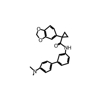 CN(C)c1ccc(-c2cccc(NC(=O)C3(c4ccc5c(c4)OCO5)CC3)c2)cc1